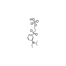 CCN(c1cccc(S(=O)(=O)CCOS(=O)(=O)O)c1)C(C)C